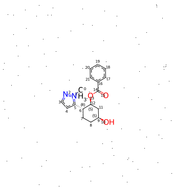 Cn1nccc1[C@H]1CC[C@H](O)C[C@@H]1OC(=O)c1ccccc1